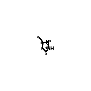 CC1CCN[N]1